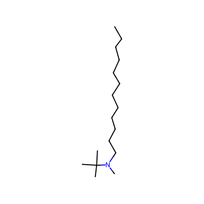 CCCCCCCCCCCCN(C)C(C)(C)C